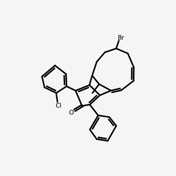 CC1/C2=C\C=C/CC(Br)CCC1C1=C(c3ccccc3Cl)C(=O)C(c3ccccc3)=C12